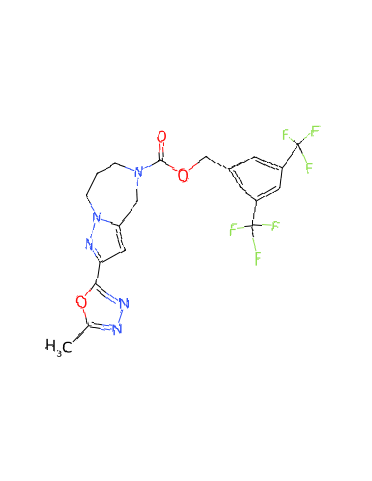 Cc1nnc(-c2cc3n(n2)CCCN(C(=O)OCc2cc(C(F)(F)F)cc(C(F)(F)F)c2)C3)o1